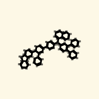 c1ccc(C2=CC(c3ccc(N(c4ccc(-c5ccccc5)c(-c5ccccc5)c4)c4cccc5ccccc45)cc3)=CCC2c2ccc3oc4ccccc4c3c2)cc#1